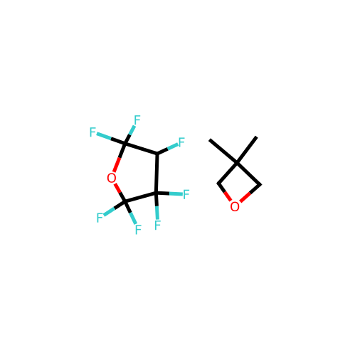 CC1(C)COC1.FC1C(F)(F)OC(F)(F)C1(F)F